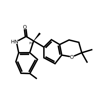 Cc1ccc2c(c1)[C@@](C)(c1ccc3c(c1)CCC(C)(C)O3)C(=O)N2